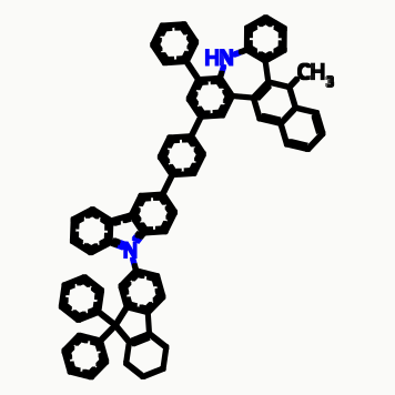 CC1C2=C(C=C3C=CC=CC31)c1cc(-c3ccc(-c4ccc5c(c4)c4ccccc4n5-c4ccc5c(c4)C(c4ccccc4)(c4ccccc4)C4=C5CCCC4)cc3)cc(-c3ccccc3)c1Nc1ccccc12